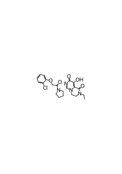 CCN1CCn2c([C@@H]3CCCN3C(=O)COc3ccccc3Cl)nc(=O)c(O)c2C1=O